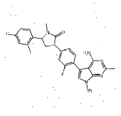 Cc1nc(N)c2c(-c3ccc(N4CC(c5ccc(F)cc5F)N(C)C4=O)cc3F)cn(C(C)C)c2n1